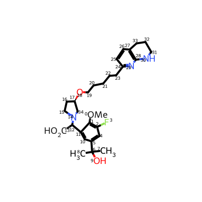 COc1c(F)cc(C(C)(C)O)cc1C(C(=O)O)N1CC[C@@H](OCCCCCc2ccc3c(n2)NCCC3)C1